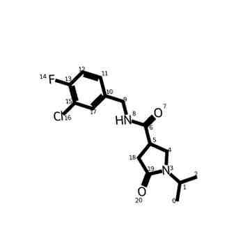 CC(C)N1CC(C(=O)NCc2ccc(F)c(Cl)c2)CC1=O